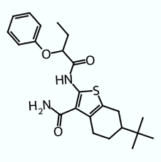 CCC(Oc1ccccc1)C(=O)Nc1sc2c(c1C(N)=O)CCC(C(C)(C)C)C2